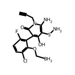 BCOc1c(Cl)ccc(F)c1-c1c(O)c(SN)c(N)n(CC#C)c1=O